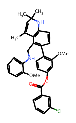 COc1ccccc1NCc1c(-c2ccc(OC(=O)c3cccc(Cl)c3)cc2OC)ccc2c1C(C)=CC(C)(C)N2